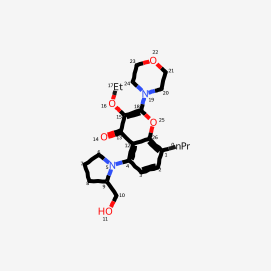 CCCc1ccc(N2CCCC2CO)c2c(=O)c(OCC)c(N3CCOCC3)oc12